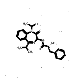 CC(C)C1=NC(NC(=O)[C@H](N)Cc2ccccc2)C(=O)N(C(C)C)c2ccccc21